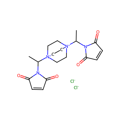 CC(N1C(=O)C=CC1=O)[N+]12CC[N+](C(C)N3C(=O)C=CC3=O)(CC1)CC2.[Cl-].[Cl-]